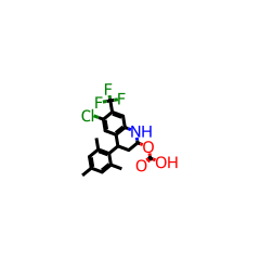 Cc1cc(C)c(C2CC(OC(=O)O)Nc3cc(C(F)(F)F)c(Cl)cc32)c(C)c1